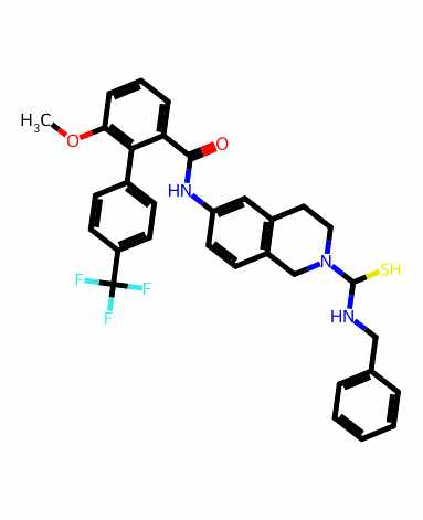 COc1cccc(C(=O)Nc2ccc3c(c2)CCN(C(S)NCc2ccccc2)C3)c1-c1ccc(C(F)(F)F)cc1